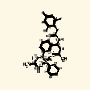 Cc1cc(C)c(CC(=O)NC(CC(=O)O)c2cccc(N(NC(=N)N)S(=O)(=O)c3ccccc3)c2)c(C)c1